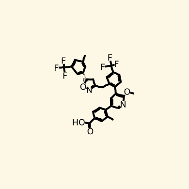 COc1ncc(-c2ccc(C(=O)O)cc2C)cc1-c1ccc(C(F)(F)F)cc1CC1=NO[C@H](c2cc(C)cc(C(F)(F)F)c2)C1